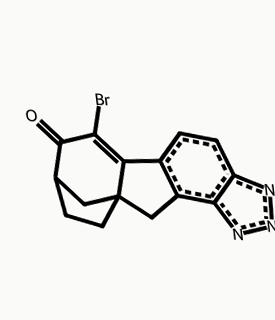 O=C1C(Br)=C2c3ccc4[nH]nnc4c3CC23CCC1C3